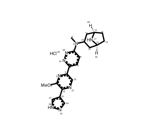 COc1nc(-c2ccc(N(C)C3C[C@H]4CC[C@@H](C3)N4)nn2)cnc1-c1cn[nH]c1.Cl